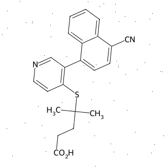 CC(C)(CCC(=O)O)Sc1ccncc1-c1ccc(C#N)c2ccccc12